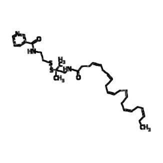 CC/C=C\C/C=C\C/C=C\C/C=C\C/C=C\C/C=C\CCC(=O)NCC(C)(C)SSCCNC(=O)c1cccnc1